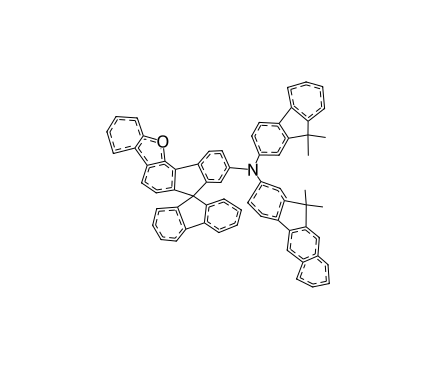 CC1(C)c2ccccc2-c2ccc(N(c3ccc4c(c3)C(C)(C)c3cc5ccccc5cc3-4)c3ccc4c(c3)C3(c5ccccc5-c5ccccc53)c3ccc5c(oc6ccccc65)c3-4)cc21